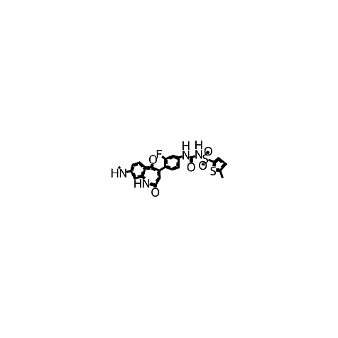 CNc1ccc2c(=O)c(-c3ccc(NC(=O)NS(=O)(=O)c4ccc(C)s4)cc3F)cc(=O)[nH]c2c1